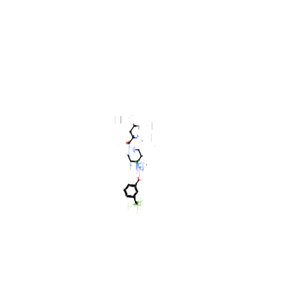 CC(C)CC(N)C(=O)N1CCC(=NOCc2cccc(C(F)(F)F)c2)CC1.Cl